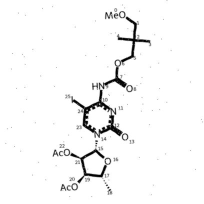 COCC(C)(C)COC(=O)Nc1nc(=O)n([C@@H]2O[C@H](C)[C@@H](OC(C)=O)[C@H]2OC(C)=O)cc1I